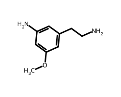 COc1cc(N)cc(CCN)c1